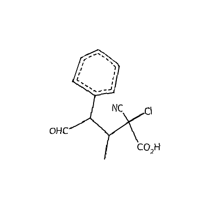 CC(C(C=O)c1ccccc1)C(Cl)(C#N)C(=O)O